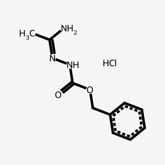 CC(N)=NNC(=O)OCc1ccccc1.Cl